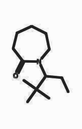 CCC(N1CCCCCC1=O)C(C)(C)C